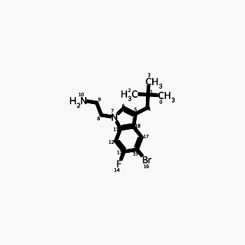 CC(C)(C)Cc1cn(CCN)c2cc(F)c(Br)cc12